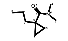 CCCC1(C(=O)N(C)C)CC1